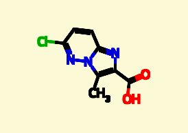 Cc1c(C(=O)O)nc2ccc(Cl)nn12